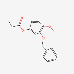 CCC(=O)Oc1ccc(OC)c(OCc2ccccc2)c1